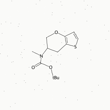 CN(C(=O)OC(C)(C)C)C1COc2ccsc2C1